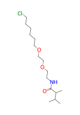 CC(C)C(C)C(=O)NCCOCCOCCCCCCCl